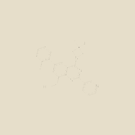 COc1cc(-c2ccccc2F)cc2c(N3CC(F)(F)C3)nc(-c3cccnc3)nc12